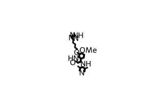 COc1ccc2c(Nc3c(C)cncc3C)cc(=O)[nH]c2c1OCCCCc1nn[nH]n1